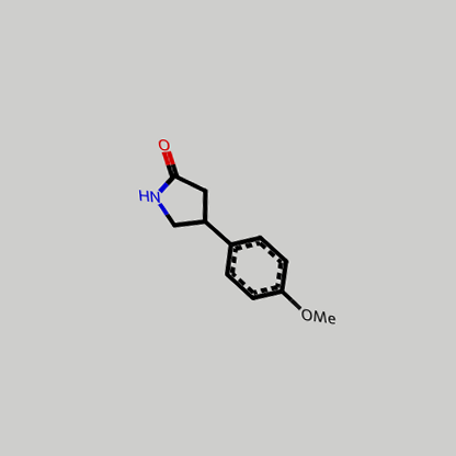 COc1ccc(C2CNC(=O)C2)cc1